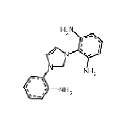 Nc1ccccc1N1C=CN(c2c(N)cccc2N)C1